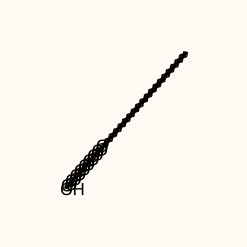 CCCCCCCCCCCCCCCCCCCCCCCCCCCCCCCCCCCCCCOOOOOOOOOOOOOOOOOO